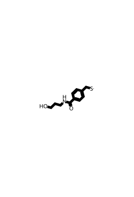 O=C(NCCCO)c1ccc(C[S])cc1